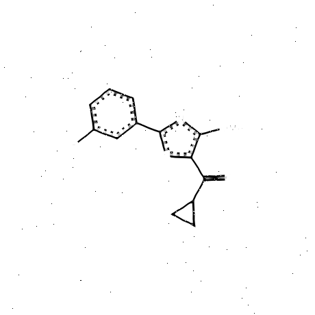 COc1nc(-c2cccc(F)c2)sc1C(=O)C1CC1